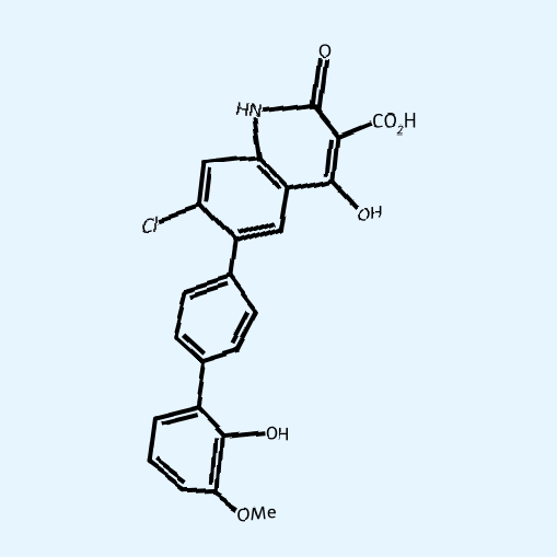 COc1cccc(-c2ccc(-c3cc4c(O)c(C(=O)O)c(=O)[nH]c4cc3Cl)cc2)c1O